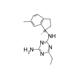 CCc1nc(N)nc(N[C@]2(C)CCc3ccc(C)cc32)n1